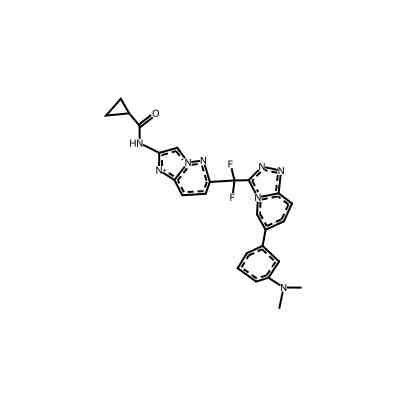 CN(C)c1cccc(-c2ccc3nnc(C(F)(F)c4ccc5nc(NC(=O)C6CC6)cn5n4)n3c2)c1